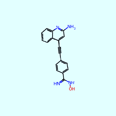 N=C(NO)c1ccc(C#Cc2cc(N)nc3ccccc23)cc1